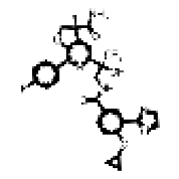 C[C@]1(C(N)=O)COc2c1cc([C@@](O)(CNC(=O)c1ccc(OC3CC3)c(-c3ncco3)c1)C(F)(F)F)nc2-c1ccc(F)cc1